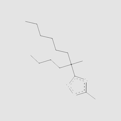 CCCCCCC(C)(CCCC)c1nsc(C)n1